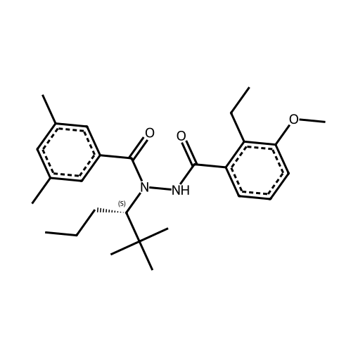 CCC[C@H](N(NC(=O)c1cccc(OC)c1CC)C(=O)c1cc(C)cc(C)c1)C(C)(C)C